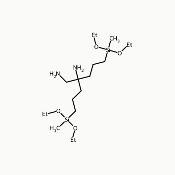 CCO[Si](C)(CCCC(N)(CN)CCC[Si](C)(OCC)OCC)OCC